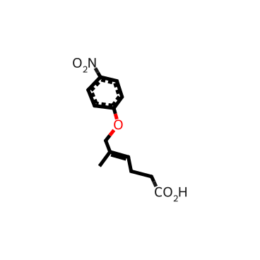 CC(=CCCC(=O)O)COc1ccc([N+](=O)[O-])cc1